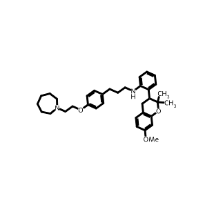 COc1ccc2c(c1)OC(C)(C)C(c1ccccc1NCCCc1ccc(OCCN3CCCCCC3)cc1)C2